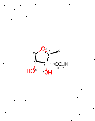 C[C@@H]1O[CH][C@@H](O)[C@@]1(O)C(=O)O